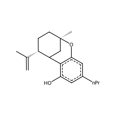 C=C(C)[C@@H]1CC[C@]2(C)CC1c1c(O)cc(CCC)cc1O2